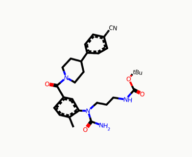 Cc1ccc(C(=O)N2CCC(c3ccc(C#N)cc3)CC2)cc1N(CCCNC(=O)OC(C)(C)C)C(N)=O